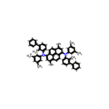 Cc1cc(C)cc(N(c2cccc(-c3ccccc3)c2C)c2cc(C(C)C)c3ccc4c(N(c5cc(C)cc(C)c5)c5cccc(-c6ccccc6)c5C)cc(C(C)C)c5ccc2c3c54)c1